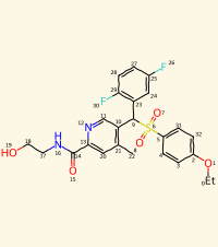 CCOc1ccc(S(=O)(=O)C(c2cnc(C(=O)NCCO)cc2C)c2cc(F)ccc2F)cc1